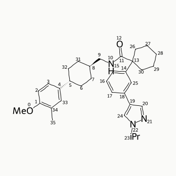 COc1ccc([C@H]2CC[C@H](CNC(=O)C3(c4cccc(-c5cnn(C(C)C)c5)c4)CCCCC3)CC2)cc1C